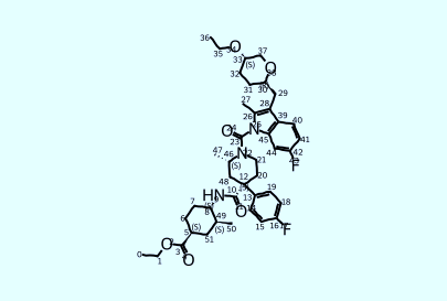 CCOC(=O)[C@H]1CC[C@H](NC(=O)[C@@]2(c3ccc(F)cc3)CCN(C(=O)n3c(C)c(C[C@H]4CC[C@H](OCC)CO4)c4ccc(F)cc43)[C@@H](C)C2)[C@@H](C)C1